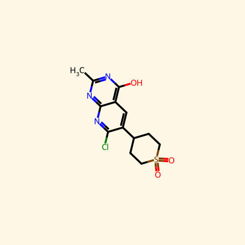 Cc1nc(O)c2cc(C3CCS(=O)(=O)CC3)c(Cl)nc2n1